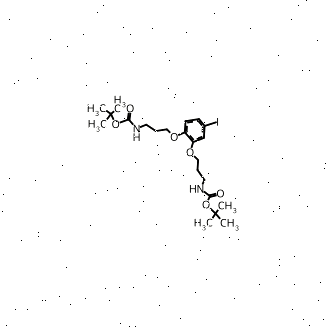 CC(C)(C)OC(=O)NCCCOc1ccc(I)cc1OCCCNC(=O)OC(C)(C)C